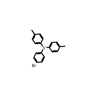 Cc1ccc([S+](c2ccccc2)c2ccc(C)cc2)cc1.[Br-]